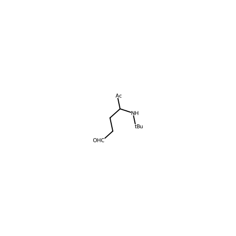 CC(=O)C(CCC=O)NC(C)(C)C